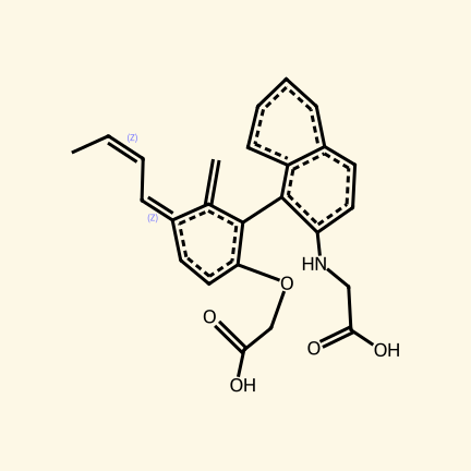 C=c1c(-c2c(NCC(=O)O)ccc3ccccc23)c(OCC(=O)O)cc/c1=C/C=C\C